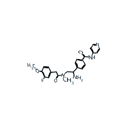 COc1ccc(CC(=O)N(C)CC(N)c2ccc(C(=O)Nc3ccncc3)cc2)cc1F